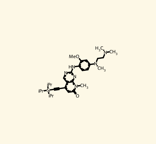 COc1cc(N(C)CCN(C)C)ccc1Nc1ncc2c(C#C[Si](C(C)C)(C(C)C)C(C)C)cc(=O)n(C)c2n1